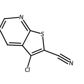 N#Cc1sc2ncccc2c1Cl